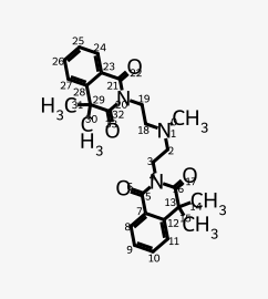 CN(CCN1C(=O)c2ccccc2C(C)(C)C1=O)CCN1C(=O)c2ccccc2C(C)(C)C1=O